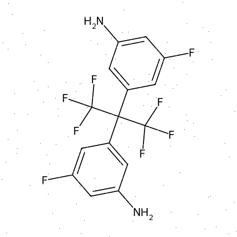 Nc1cc(F)cc(C(c2cc(N)cc(F)c2)(C(F)(F)F)C(F)(F)F)c1